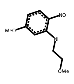 COCCNc1cc(OC)ccc1N=O